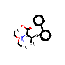 CC(C)[C@H](N)C(=O)O.CCOCC.c1ccc(-c2ccccc2)cc1